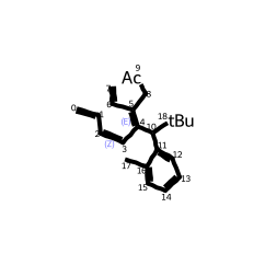 C=C/C=C\C(=C(/C=C)CC(C)=O)C(c1ccccc1C)C(C)(C)C